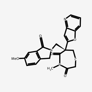 COc1ccc2c(c1)C(=O)N(C[C@@]1(c3cc4ncccc4o3)CCCC(=O)N(C)C1=O)C2